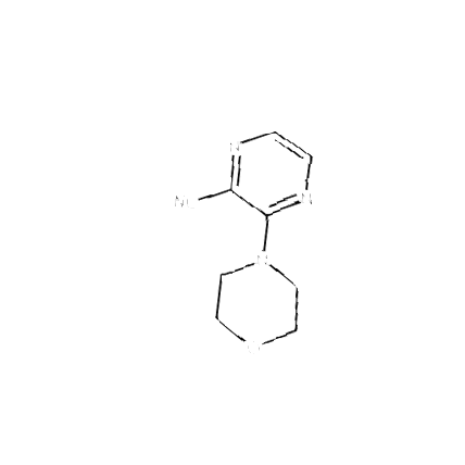 N#Cc1nccnc1N1CCOCC1